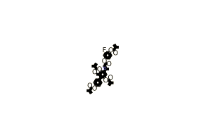 C=C(C)C(=O)Oc1ccc(-c2c(OC(=O)C(=C)C)cc(/C(C)=C/C(=O)Oc3ccc(OC(=O)C(=C)C)c(F)c3)c(OC(=O)C(=C)C)c2C)cc1